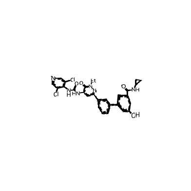 CCn1nc(-c2cccc(-c3cc(O)cc(C(=O)NC4CC4)c3)c2)cc(NC(=O)Nc2c(Cl)cncc2Cl)c1=O